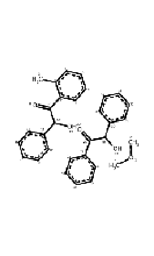 COC.Cc1ccccc1C(=O)C(O)c1ccccc1.O=C(c1ccccc1)C(O)c1ccccc1